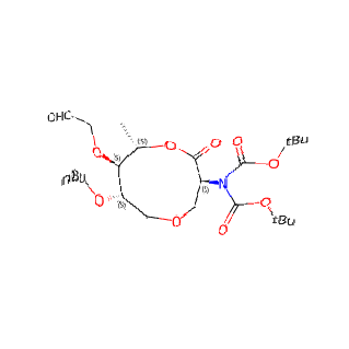 CCCCO[C@H]1COC[C@H](N(C(=O)OC(C)(C)C)C(=O)OC(C)(C)C)C(=O)O[C@@H](C)[C@@H]1OCC=O